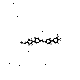 CCCCCCc1ccc(C2CCC(CCc3ccc(-c4cc(F)c(Cl)c(F)c4)cc3)CC2)cc1